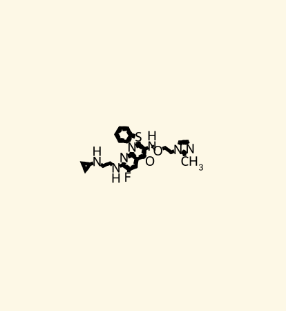 Cc1nccn1CCONc1c(=O)c2cc(F)c(NCCNC3CC3)nc2n2c1sc1ccccc12